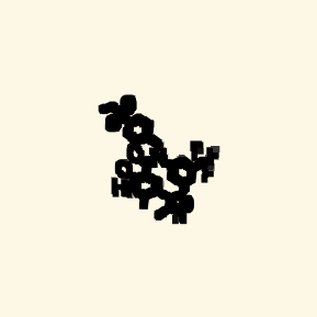 CCS(=O)(=O)c1ccc(CN(C(=O)c2cc(-c3c(C)noc3C)c(C)[nH]c2=O)c2cccc(C(F)(F)F)c2)cc1